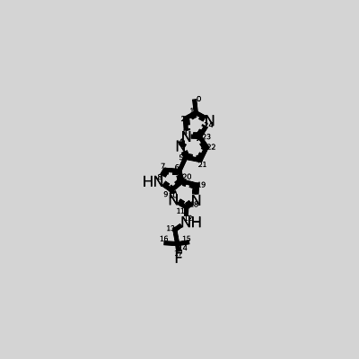 Cc1cn2nc(-c3c[nH]c4nc(NCC(C)(C)F)ncc34)ccc2n1